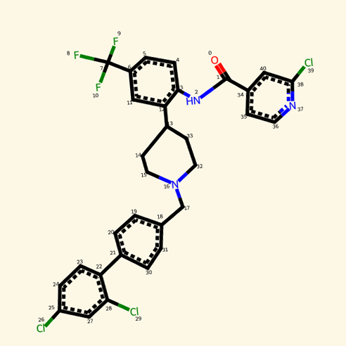 O=C(Nc1ccc(C(F)(F)F)cc1C1CCN(Cc2ccc(-c3ccc(Cl)cc3Cl)cc2)CC1)c1ccnc(Cl)c1